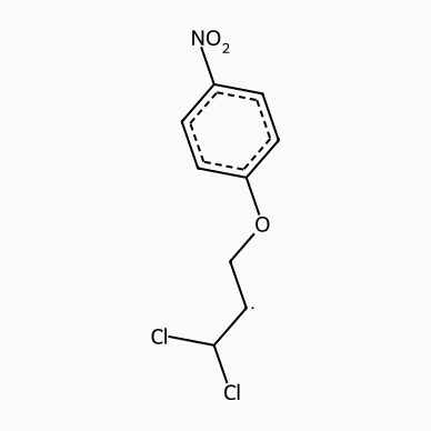 O=[N+]([O-])c1ccc(OC[CH]C(Cl)Cl)cc1